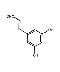 O=C/C=C/c1cc(O)cc(O)c1